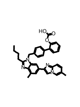 CCCCc1nc2c(C)cc(-c3cn4cc(C)ccc4n3)cc2n1Cc1ccc(-c2ccccc2OC(=O)O)cc1